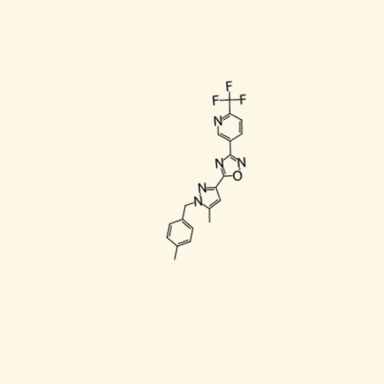 Cc1ccc(Cn2nc(-c3nc(-c4ccc(C(F)(F)F)nc4)no3)cc2C)cc1